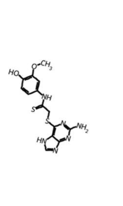 COc1cc(NC(=S)CSc2nc(N)nc3nc[nH]c23)ccc1O